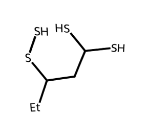 CCC(CC(S)S)SS